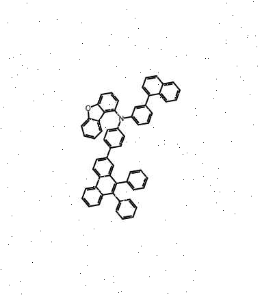 c1ccc(-c2c(-c3ccccc3)c3cc(-c4ccc(N(c5cccc(-c6cccc7ccccc67)c5)c5cccc6oc7ccccc7c56)cc4)ccc3c3ccccc23)cc1